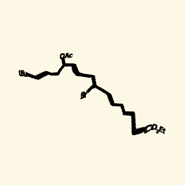 CCOC(=O)CCCCCCC(Br)CCCC(CCCC(C)(C)C)OC(C)=O